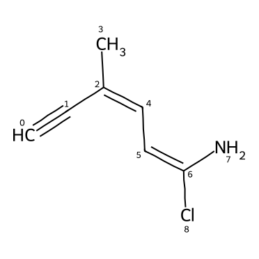 C#C/C(C)=C\C=C(/N)Cl